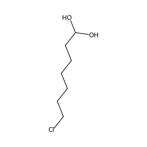 OC(O)CCCCCCCl